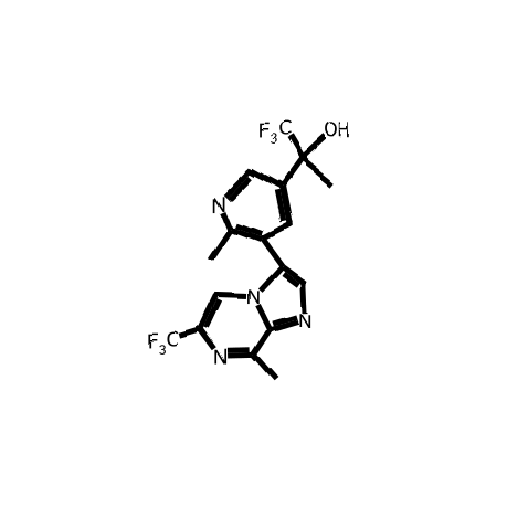 Cc1ncc(C(C)(O)C(F)(F)F)cc1-c1cnc2c(C)nc(C(F)(F)F)cn12